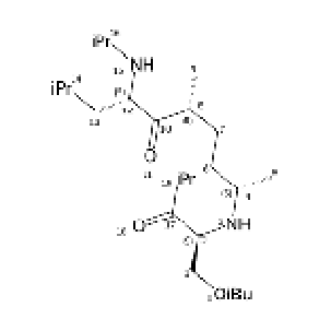 CC(C)COC[C@H](N[C@@H](C)CC[C@@H](C)C(=O)[C@H](CC(C)C)NC(C)C)C(=O)C(C)C